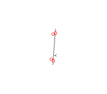 CCCOC(=O)CCCCCCCCCCCCCCC(CCC(=O)OCCC)C(C)C